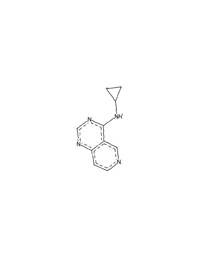 c1cc2ncnc(NC3CC3)c2cn1